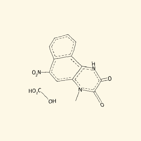 Cn1c(=O)c(=O)[nH]c2c3ccccc3c([N+](=O)[O-])cc21.O=C(O)O